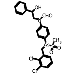 CS(=O)(=O)[As](Cc1cccc(Cl)c1Cl)c1ccc(N(C=O)CC(O)c2ccccc2)cc1